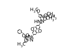 COCc1cc(-c2ncc(-c3cc4c5c(c3)OCc3cc(-c6cnc([C@@H]7C[C@H](C)CN7C(=O)OCc7ccccc7)[nH]6)cc(c3-5)OC4)[nH]2)n(C(=O)OC(C)(C)C)c1